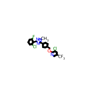 Cn1nc(-c2c(F)cccc2Cl)nc1-c1ccc(COc2ncc(C(F)(F)F)cc2Cl)cc1